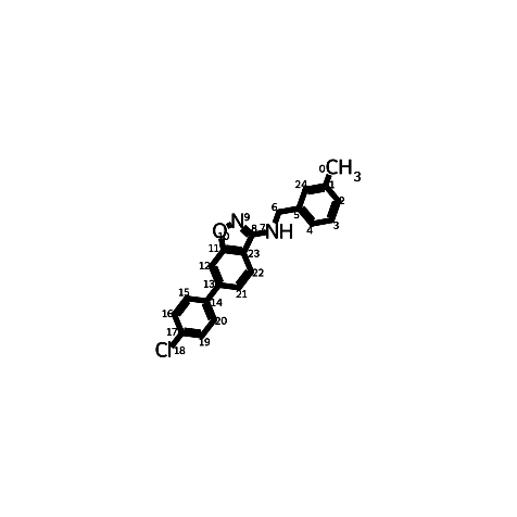 Cc1cccc(CNc2noc3cc(-c4ccc(Cl)cc4)ccc23)c1